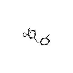 Cc1cccc(Cc2ccn(C)c(=O)c2)c1